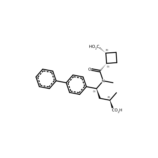 C[C@H](C[C@@H](c1ccc(-c2ccccc2)cc1)N(C)C(=O)[C@H]1CC[C@H]1C(=O)O)C(=O)O